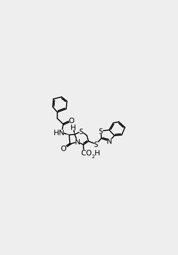 O=C(Cc1ccccc1)N[C@@H]1C(=O)N2C(C(=O)O)=C(Sc3nc4ccccc4s3)CS[C@@H]12